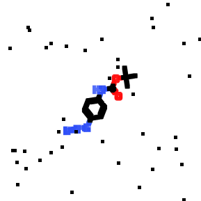 CC(C)(C)OC(=O)Nc1ccc(N=[N+]=[N-])cc1